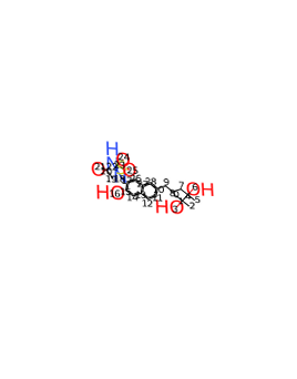 CC(C)(O)C(C)(O)CCCc1ccc2cc(O)c(N3CC(=O)NS3(=O)=O)cc2c1